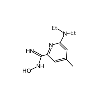 CCN(CC)c1cc(C)cc(C(=N)NO)n1